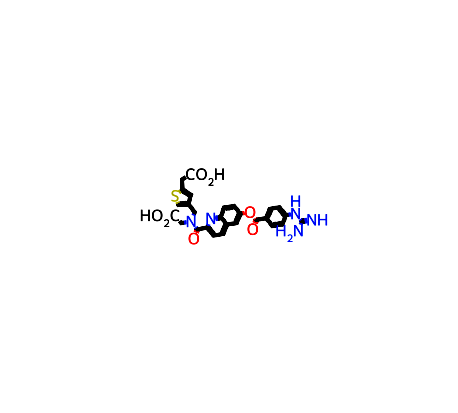 N=C(N)Nc1ccc(C(=O)Oc2ccc3nc(C(=O)N(CC(=O)O)Cc4csc(CC(=O)O)c4)ccc3c2)cc1